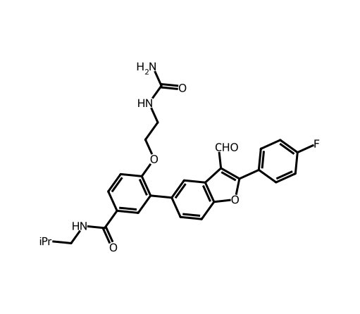 CC(C)CNC(=O)c1ccc(OCCNC(N)=O)c(-c2ccc3oc(-c4ccc(F)cc4)c(C=O)c3c2)c1